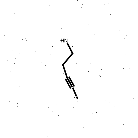 CC#CCC[NH]